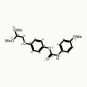 COc1ccc(NC(=O)Oc2ccc(OCC(OC)OC)cc2)cc1